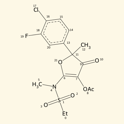 CCS(=O)(=O)N(C)C1=C(OC(C)=O)C(=O)C(C)(c2ccc(Cl)c(F)c2)O1